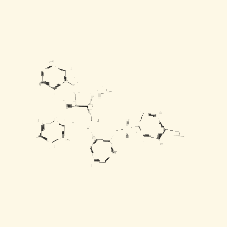 CCCC(NCc1ccccc1CS(=O)(=O)c1ccc(C)cc1)P(=O)(Oc1ccccc1)Oc1ccccc1